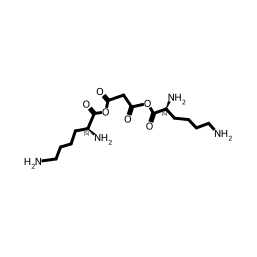 NCCCC[C@H](N)C(=O)OC(=O)CC(=O)OC(=O)[C@@H](N)CCCCN